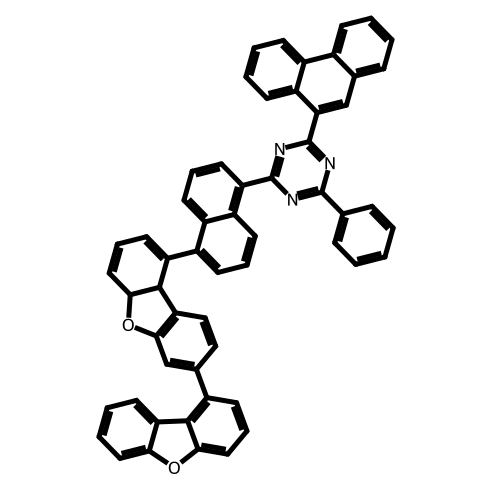 C1=CC2Oc3cc(-c4cccc5oc6ccccc6c45)ccc3C2C(c2cccc3c(-c4nc(-c5ccccc5)nc(-c5cc6ccccc6c6ccccc56)n4)cccc23)=C1